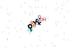 CC(C)(C)C1C(C(C)(C)S(=O)(=O)c2cccc(C(F)(F)F)c2)CN1C(=O)O